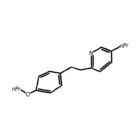 CCCOc1ccc(CCc2ccc(CCC)cn2)cc1